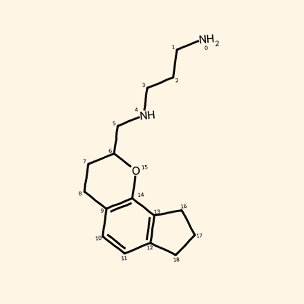 NCCCNCC1CCc2ccc3c(c2O1)CCC3